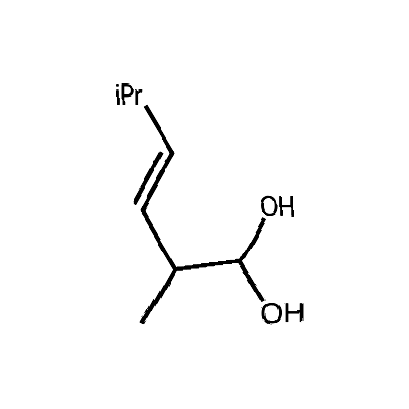 CC(C)C=CC(C)C(O)O